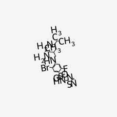 CC(C)C(N)CC(CNc1cc(F)c(S(=O)(=O)Nc2ncns2)cc1Br)C(C)N